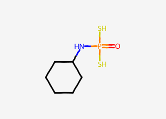 O=P(S)(S)NC1CCCCC1